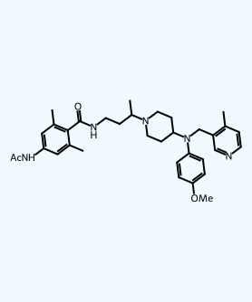 COc1ccc(N(Cc2cnccc2C)C2CCN(C(C)CCNC(=O)c3c(C)cc(NC(C)=O)cc3C)CC2)cc1